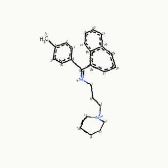 Cc1ccc(/C(=N/CCCN2CCCCC2)c2cccc3ccccc23)cc1